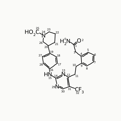 NC(=O)Cc1ccccc1CCc1nc(Nc2ccc(C3CCCN(C(=O)O)C3)cc2)ncc1C(F)(F)F